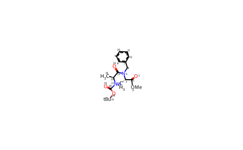 COC(=O)[C@H](C)N(Cc1ccccc1)C(=O)[C@H](C)NC(=O)OC(C)(C)C